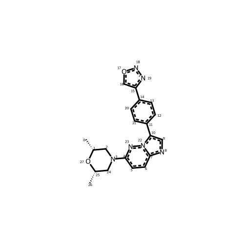 C[C@@H]1CN(c2ccc3ncc(-c4ccc(-c5conn5)cc4)n3n2)C[C@H](C)O1